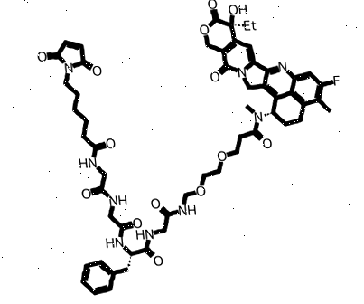 CC[C@@]1(O)C(=O)OCc2c1cc1n(c2=O)Cc2c-1nc1cc(F)c(C)c3c1c2[C@@H](N(C)C(=O)CCOCCOCNC(=O)CNC(=O)[C@H](Cc1ccccc1)NC(=O)CNC(=O)CNC(=O)CCCCCN1C(=O)C=CC1=O)CC3